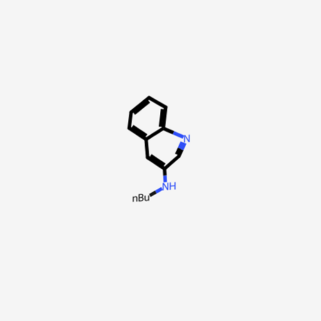 CCCCNc1cnc2ccccc2c1